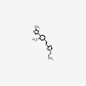 CCCn1cnc(/C=C/c2ccc(-n3cnc(C)c3)c(C)c2)n1